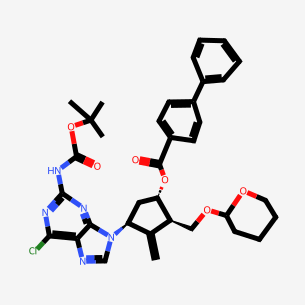 C=C1[C@H](COC2CCCCO2)[C@@H](OC(=O)c2ccc(-c3ccccc3)cc2)C[C@@H]1n1cnc2c(Cl)nc(NC(=O)OC(C)(C)C)nc21